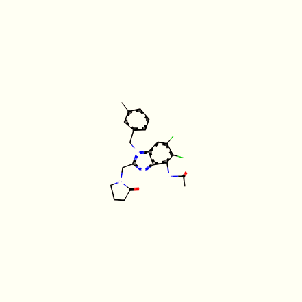 CCC(=O)Nc1c(Cl)c(Cl)cc2c1nc(CN1CCCC1=O)n2Cc1cccc(C)c1